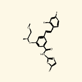 COC[C@H](C)Oc1cc(C=Cc2ccc(F)cc2F)cc(C(=O)Nc2ncc(F)s2)c1